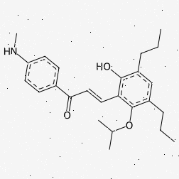 CCCc1cc(CCC)c(OC(C)C)c(/C=C/C(=O)c2ccc(NC)cc2)c1O